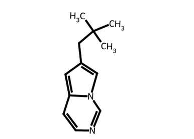 CC(C)(C)Cc1cc2ccncn2c1